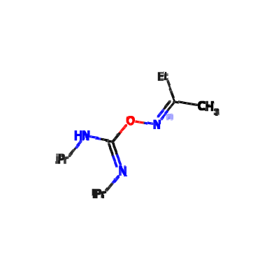 CC/C(C)=N\OC(=NC(C)C)NC(C)C